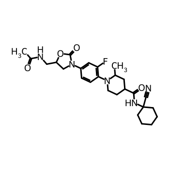 CC(=O)NCC1CN(c2ccc(N3CCC(C(=O)NC4(C#N)CCCCC4)CC3C)c(F)c2)C(=O)O1